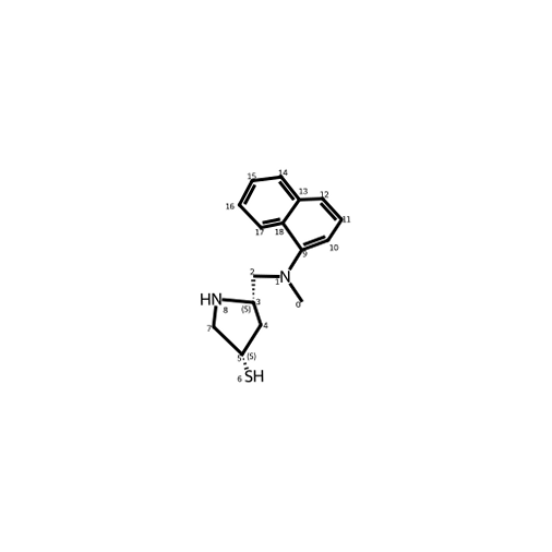 CN(C[C@@H]1C[C@H](S)CN1)c1cccc2ccccc12